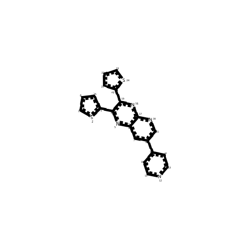 c1csc(-c2nc3cc(-c4ccncc4)cnc3nc2-c2cccs2)c1